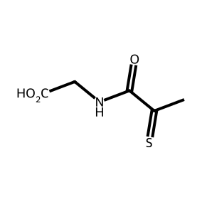 CC(=S)C(=O)NCC(=O)O